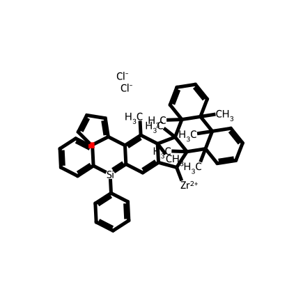 CC1=C(C2=CC=CC2)C(=[Si](c2ccccc2)c2ccccc2)C=C2[CH]([Zr+2])C3(C)C4(C)C=CC=CC4(C)C4(C)C=CC=CC4(C)C3(C)C21C.[Cl-].[Cl-]